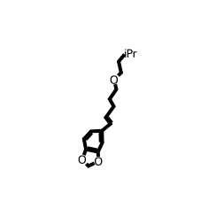 CC(C)CCOCCC/C=C/c1ccc2c(c1)OCO2